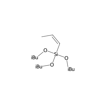 C/C=C\[Si](OC(C)CC)(OC(C)CC)OC(C)CC